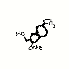 COc1cc2ccc(C)cc2cc1CO